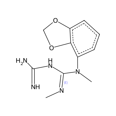 C/N=C(\NC(=N)N)N(C)c1cccc2c1OCO2